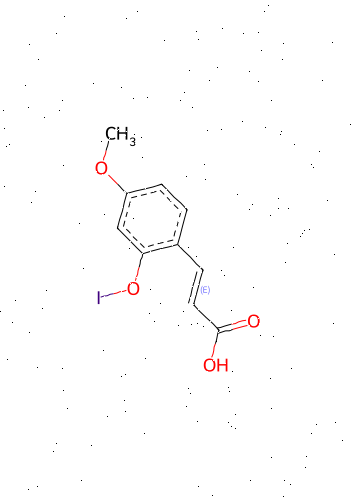 COc1ccc(/C=C/C(=O)O)c(OI)c1